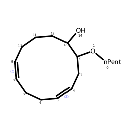 CCCCCOC1C/C=C\CC/C=C\CCCC1O